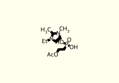 CC(=O)OCCP(=O)(O)O.CCN1C=CN(C)C1C